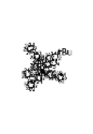 CC(C)(C)c1cc2ccc3c4c5c(c6ccc(c1)c2c36)-n1c2ccc(-c3ccccc3)cc2c2cc(-c3ccccc3)cc(c21)B5N(c1ccc(-c2ccccc2)cc1)c1ccc(-c2ccccc2)cc1-4